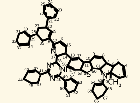 CC12CC=CCC1C1C=CC3C4C=C(C5C=CC(C6=CC(c7ccccc7)CC(C7=CCCC=C7)C6)=NC5C5N=C(C6C=CCCC6)N=C(C6=CCCC=C6)N5)C=CC4SC3C1N2C1=CCCCC1